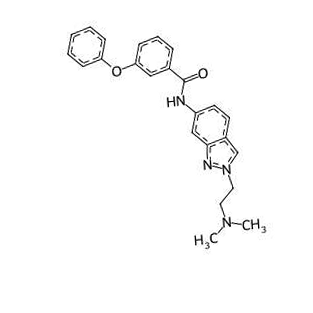 CN(C)CCn1cc2ccc(NC(=O)c3cccc(Oc4ccccc4)c3)cc2n1